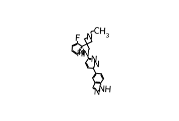 CCN1CC(CNc2ccc(-c3ccc4[nH]ncc4c3)nn2)(c2ncccc2F)C1